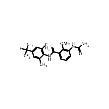 COc1c(NC(N)=O)cccc1C(=O)Nc1c(C)cc(C(F)(C(F)(F)F)C(F)(F)F)cc1C